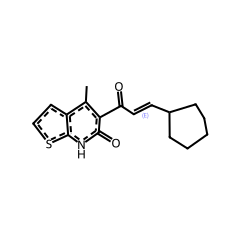 Cc1c(C(=O)/C=C/C2CCCCC2)c(=O)[nH]c2sccc12